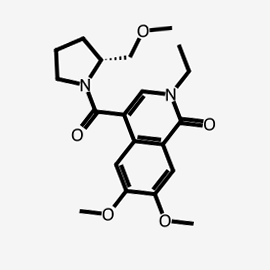 CCn1cc(C(=O)N2CCC[C@@H]2COC)c2cc(OC)c(OC)cc2c1=O